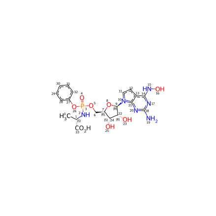 C[C@H](NP(=O)(OC[C@H]1O[C@@H](n2ccc3c(NO)nc(N)nc32)[C@H](O)[C@@H]1O)Oc1ccccc1)C(=O)O